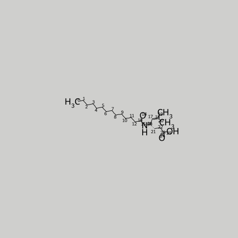 CCCCCCCCCCCCCC(=O)N[C@H](C=C(C)C)CCC(=O)O